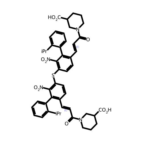 CC(C)c1ccccc1-c1c(/C=C/C(=O)N2CCCC(C(=O)O)C2)ccc(Sc2ccc(/C=C/C(=O)N3CCCC(C(=O)O)C3)c(-c3ccccc3C(C)C)c2[N+](=O)[O-])c1[N+](=O)[O-]